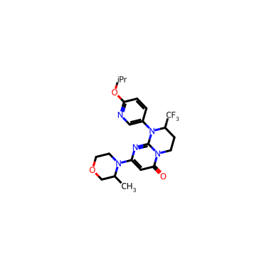 CC(C)Oc1ccc(N2c3nc(N4CCOCC4C)cc(=O)n3CCC2C(F)(F)F)cn1